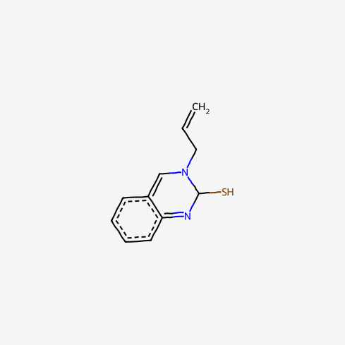 C=CCN1C=c2ccccc2=NC1S